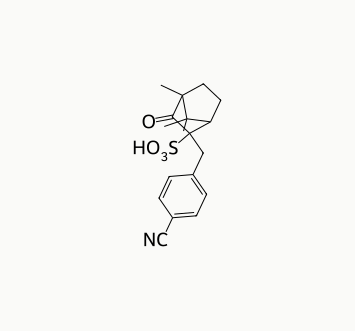 CC12CCC(C1(C)C)C(Cc1ccc(C#N)cc1)(S(=O)(=O)O)C2=O